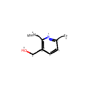 CCc1ccc(CO)c(NC)n1